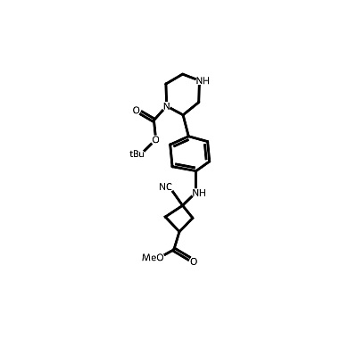 COC(=O)C1CC(C#N)(Nc2ccc(C3CNCCN3C(=O)OC(C)(C)C)cc2)C1